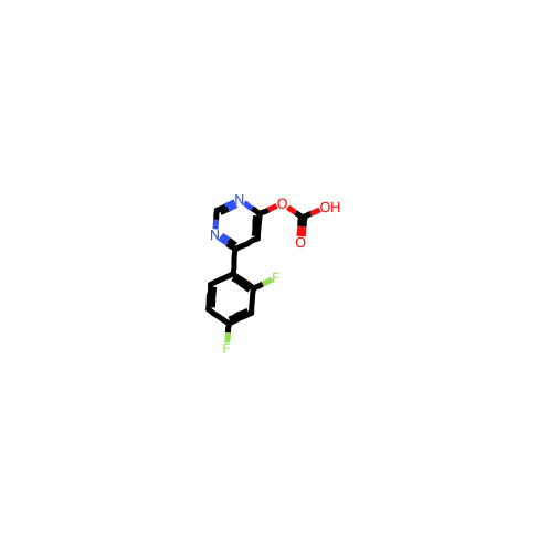 O=C(O)Oc1cc(-c2ccc(F)cc2F)ncn1